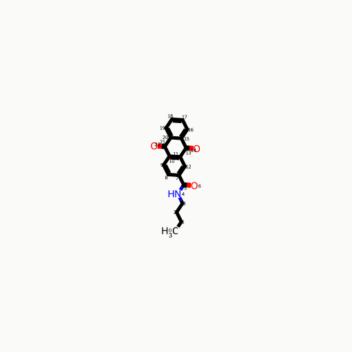 CCCCNC(=O)c1ccc2c(c1)C(=O)c1ccccc1C2=O